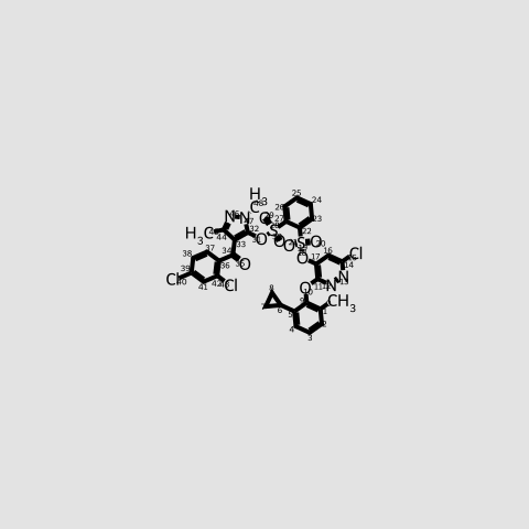 Cc1cccc(C2CC2)c1Oc1nnc(Cl)cc1OS(=O)(=O)c1ccccc1S(=O)(=O)Oc1c(C(=O)c2ccc(Cl)cc2Cl)c(C)nn1C